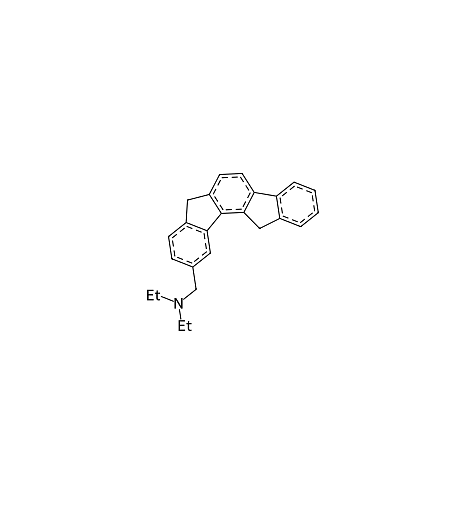 CCN(CC)Cc1ccc2c(c1)-c1c(ccc3c1Cc1ccccc1-3)C2